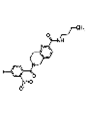 CCCCNC(=O)c1ccc2c(n1)CCN(C(=O)c1ccc(F)cc1[N+](=O)[O-])C2